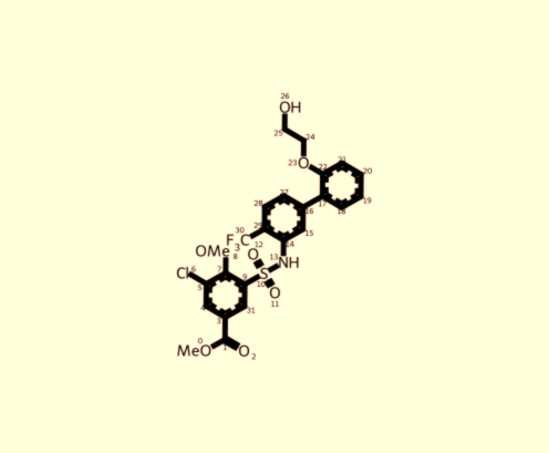 COC(=O)c1cc(Cl)c(OC)c(S(=O)(=O)Nc2cc(-c3ccccc3OCCO)ccc2C(F)(F)F)c1